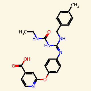 CCNC(=O)N/C(=N\c1ccc(Oc2cc(C(=O)O)ccn2)cc1)NCc1ccc(C)cc1